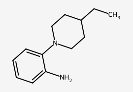 CCC1CCN(c2ccccc2N)CC1